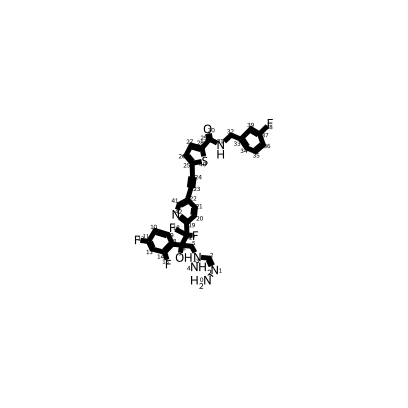 N/N=C\N(N)CC(O)(c1ccc(F)cc1F)C(F)(F)c1ccc(C#Cc2ccc(C(=O)NCc3cccc(F)c3)s2)cn1